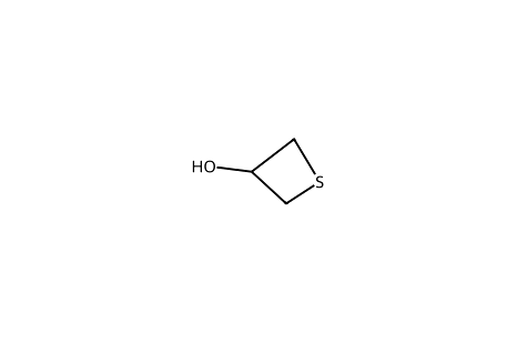 OC1CSC1